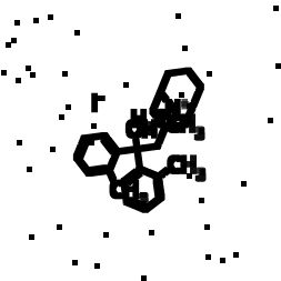 Cc1ccccc1C(O)(CC1CC2CCCC(C1)[N+]2(C)C)c1ccccc1C.[I-]